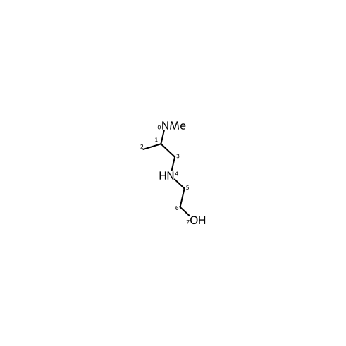 CNC(C)CNCCO